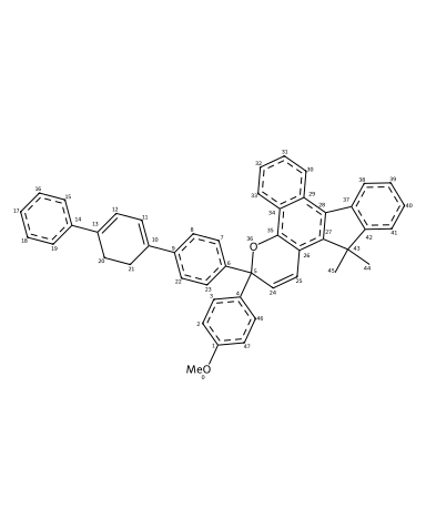 COc1ccc(C2(c3ccc(C4=CC=C(c5ccccc5)CC4)cc3)C=Cc3c4c(c5ccccc5c3O2)-c2ccccc2C4(C)C)cc1